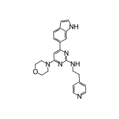 c1cc(CCNc2nc(-c3ccc4cc[nH]c4c3)cc(N3CCOCC3)n2)ccn1